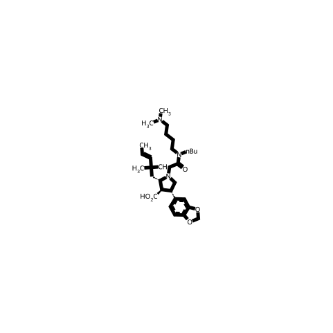 C/C=C/C(C)(C)C[C@H]1[C@H](C(=O)O)[C@@H](c2ccc3c(c2)OCO3)CN1CC(=O)N(CCCC)CCCCN(C)C